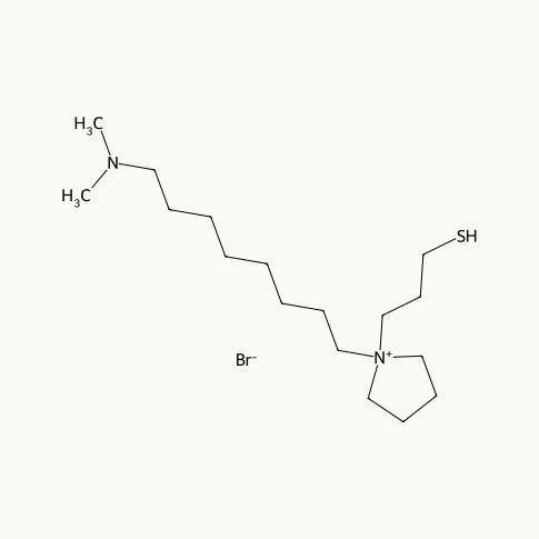 CN(C)CCCCCCCC[N+]1(CCCS)CCCC1.[Br-]